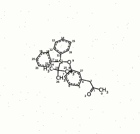 CC(=O)Cc1cccc(O[Si](c2ccccc2)(c2ccccc2)C(C)(C)C)c1